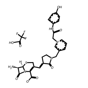 N[C@@H]1C(=O)N2C(C(=O)[O-])=C(C=C3CCN(Cc4ccc[n+](CC(=O)Nc5ccc(O)cc5)c4)C3=O)CS[C@H]12.O=C(O)C(F)(F)F